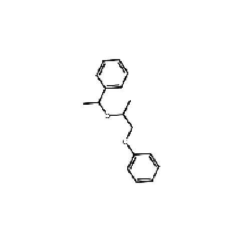 CC(COc1ccccc1)OC(C)c1ccccc1